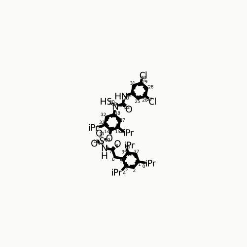 CC(C)c1cc(C(C)C)c(CC(=O)NS(=O)(=O)Oc2c(C(C)C)cc(N(S)C(=O)Nc3cc(Cl)cc(Cl)c3)cc2C(C)C)c(C(C)C)c1